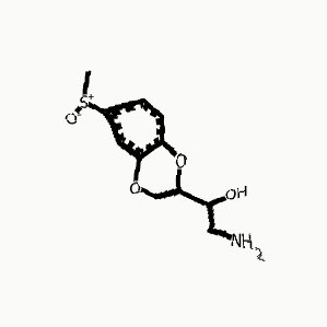 C[S+]([O-])c1ccc2c(c1)OCC(C(O)CN)O2